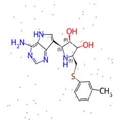 Cc1cccc(SC[C@H]2N[C@@H](c3c[nH]c4c(N)ncnc34)[C@@H](O)C2O)c1